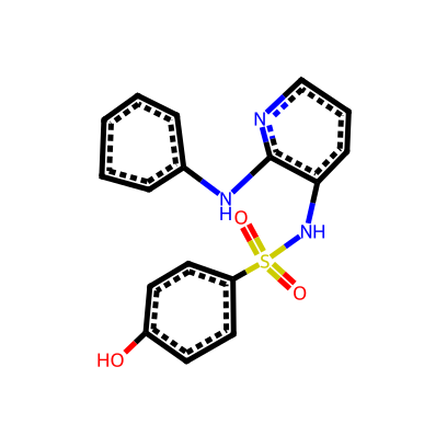 O=S(=O)(Nc1cccnc1Nc1ccccc1)c1ccc(O)cc1